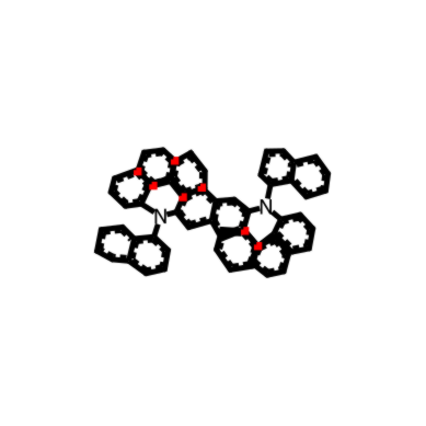 c1ccc(-c2ccccc2N(c2cc3cc(-c4ccccc4)c(N(c4ccccc4-c4ccccc4)c4cccc5ccccc45)cc3cc2-c2ccccc2)c2cccc3ccccc23)cc1